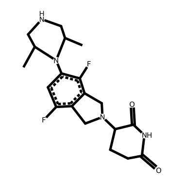 CC1CNCC(C)N1c1cc(F)c2c(c1F)CN(C1CCC(=O)NC1=O)C2